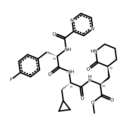 COC(=O)[C@H](C[C@@H]1CCCNC1=O)NC(=O)[C@H](CC1CC1)NC(=O)[C@H](Cc1ccc(F)cc1)NC(=O)c1cnccn1